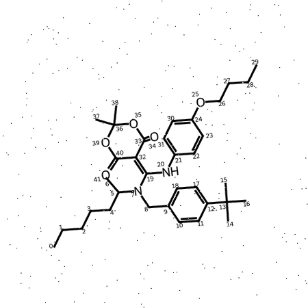 CCCCCC(C)N(Cc1ccc(C(C)(C)C)cc1)C(Nc1ccc(OCCCC)cc1)=C1C(=O)OC(C)(C)OC1=O